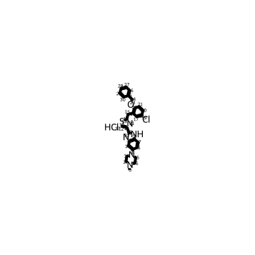 CN1CCN(c2ccc3[nH]c(-c4csc(Cc5cc(Cl)ccc5OCc5ccccc5)n4)nc3c2)CC1.Cl